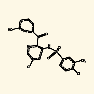 O=C(c1cccc(O)n1)c1ncc(Cl)cc1NS(=O)(=O)c1ccc(Cl)c(C(F)(F)F)c1